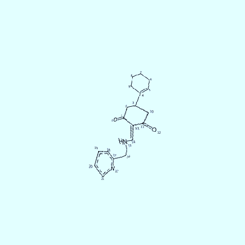 O=C1CC(C2=CCCCC2)CC(=O)C1=CNCc1ccccn1